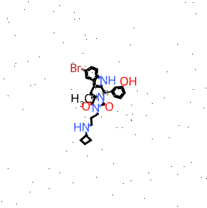 C[C@@]12Cc3c([nH]c4ccc(Br)cc34)[C@@H](c3cccc(O)c3)N1C(=O)N(CCCNC1CCC1)C2=O